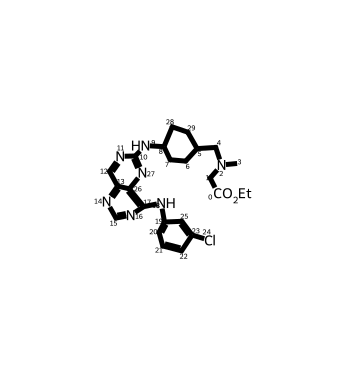 CCOC(=O)CN(C)CC1CCC(Nc2ncc3ncnc(Nc4cccc(Cl)c4)c3n2)CC1